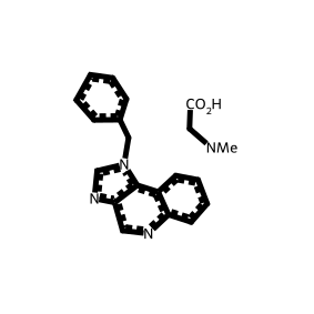 CNCC(=O)O.c1ccc(Cn2cnc3cnc4ccccc4c32)cc1